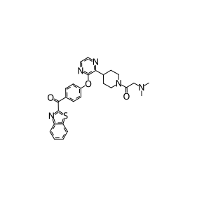 CN(C)CC(=O)N1CCC(c2nccnc2Oc2ccc(C(=O)c3nc4ccccc4s3)cc2)CC1